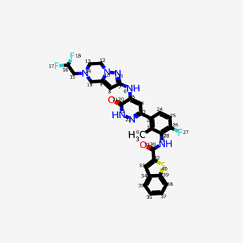 Cc1c(-c2cc(Nc3cc4n(n3)CCN(CC(F)F)C4)c(=O)[nH]n2)ccc(F)c1NC(=O)c1cc2ccccc2s1